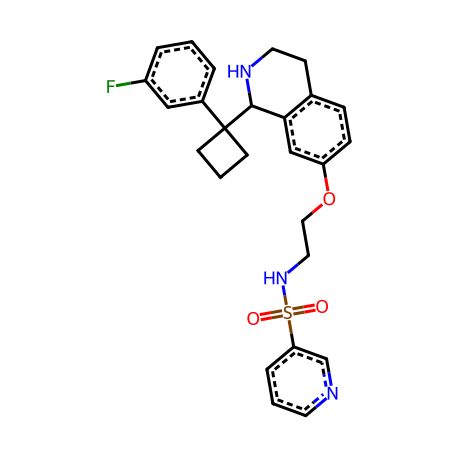 O=S(=O)(NCCOc1ccc2c(c1)C(C1(c3cccc(F)c3)CCC1)NCC2)c1cccnc1